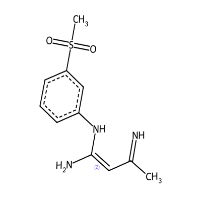 CC(=N)/C=C(/N)Nc1cccc(S(C)(=O)=O)c1